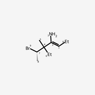 CCC=C(N)C(C)(CC)[C@H](C)Br